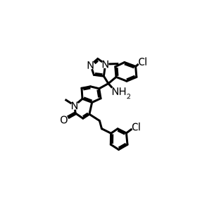 Cn1cncc1C(N)(c1ccc(Cl)cc1)c1ccc2c(c1)c(CCc1cccc(Cl)c1)cc(=O)n2C